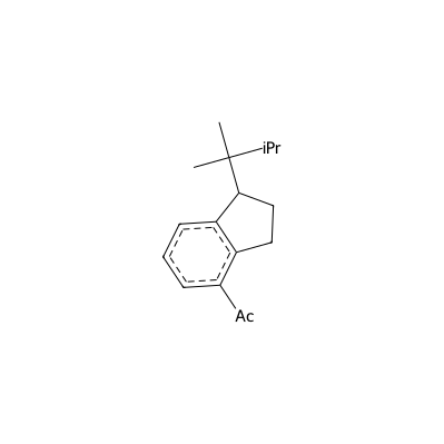 CC(=O)c1cccc2c1CCC2C(C)(C)C(C)C